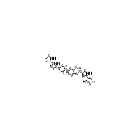 c1cc(-c2cnc([C@@H]3CCCN3)[nH]2)ccc1-c1ccc2nc(-c3c[nH]c([C@@H]4CCCN4)n3)ccc2c1